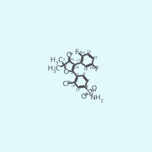 CC1(C)OC(c2ccc(S(N)(=O)=O)cc2Cl)=C(c2cc(F)ccc2F)C1=O